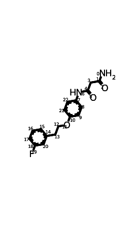 NC(=O)CC(=O)Nc1ccc(OCCc2cccc(F)c2)cc1